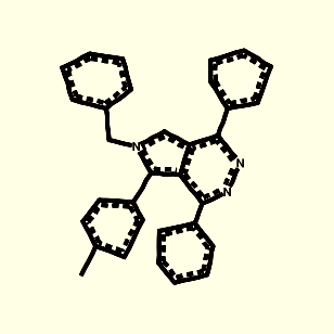 Cc1ccc(-c2c3c(-c4ccccc4)nnc(-c4ccccc4)c3cn2Cc2ccccc2)cc1